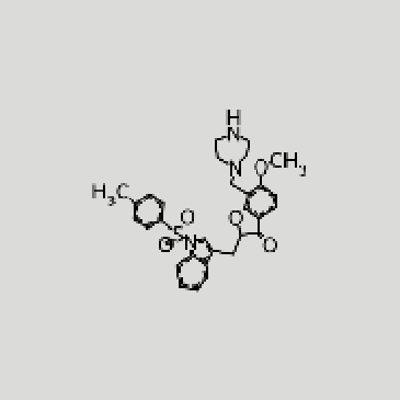 COc1ccc2c(c1CN1CCNCC1)OC(Cc1cn(S(=O)(=O)c3ccc(C)cc3)c3ccccc13)C2=O